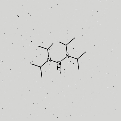 CC(C)N(C(C)C)[SiH](C)N(C(C)C)C(C)C